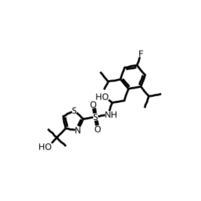 CC(C)c1cc(F)cc(C(C)C)c1CC(O)NS(=O)(=O)c1nc(C(C)(C)O)cs1